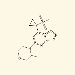 CC1COCCN1c1cc(C2(S(C)(=O)=O)CC2)c2cncn2n1